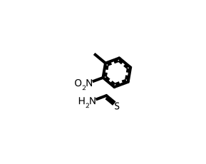 Cc1ccccc1[N+](=O)[O-].NC=S